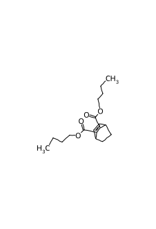 CCCCOC(=O)C1=C(C(=O)OCCCC)C2C=CC1CC2